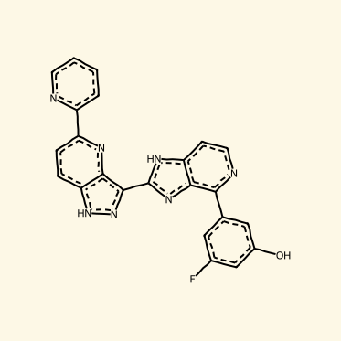 Oc1cc(F)cc(-c2nccc3[nH]c(-c4n[nH]c5ccc(-c6ccccn6)nc45)nc23)c1